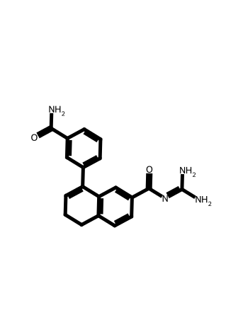 NC(=O)c1cccc(C2=CCCc3ccc(C(=O)N=C(N)N)cc32)c1